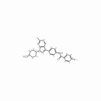 Cc1ncc2c(-c3ccc(NC(=O)c4ccc(F)cc4)cc3)nn(C3CCC(O)CC3)c2n1